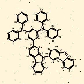 c1ccc(N(c2ccccc2)c2cc(-c3ccc4c5ccccc5n(-c5ccc6sc7ccccc7c6c5)c4c3)cc(N(c3ccccc3)c3ccccc3)c2)cc1